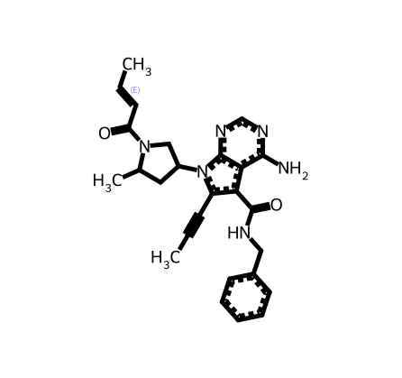 CC#Cc1c(C(=O)NCc2ccccc2)c2c(N)ncnc2n1C1CC(C)N(C(=O)/C=C/C)C1